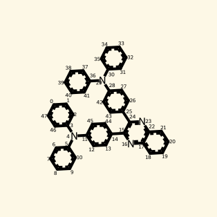 c1ccc(N(c2ccccc2)c2ccc(-c3nc4ccccc4nc3-c3ccc(N(c4ccccc4)c4ccccc4)cc3)cc2)cc1